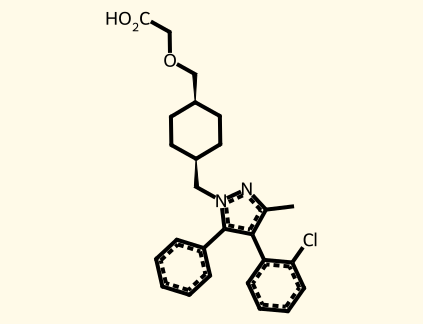 Cc1nn(C[C@H]2CC[C@@H](COCC(=O)O)CC2)c(-c2ccccc2)c1-c1ccccc1Cl